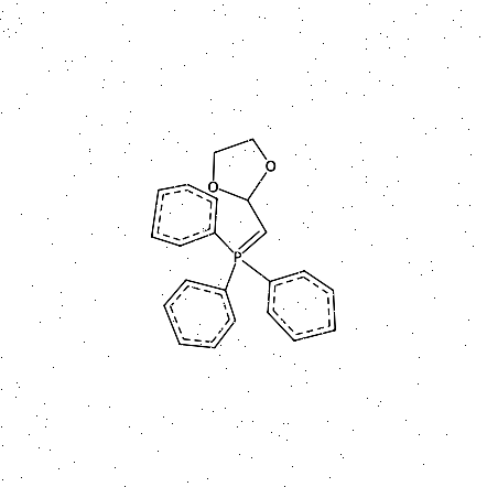 C(C1OCCO1)=P(c1ccccc1)(c1ccccc1)c1ccccc1